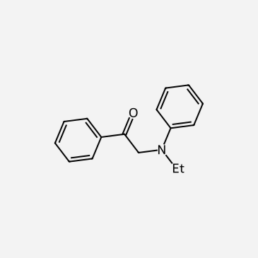 CCN(CC(=O)c1ccccc1)c1ccccc1